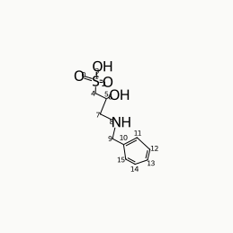 O=S(=O)(O)CC(O)CNCc1ccccc1